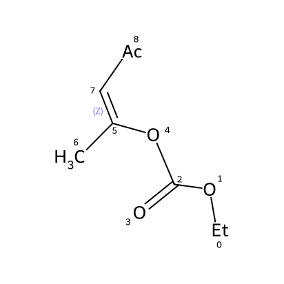 CCOC(=O)O/C(C)=C\C(C)=O